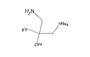 CCCCCC(O)(CC)CN